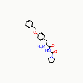 N[C@@H](Cc1ccc(OCc2ccccc2)cc1)C(=O)NC(=O)N1CCCC1